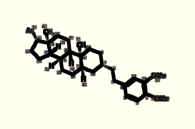 COc1ccc(CC[C@H]2CC[C@@]3(C)[C@H](CC[C@@H]4[C@@H]3CC[C@]3(C)[C@@H](C(C)=O)CC[C@@H]43)C2)cc1OC